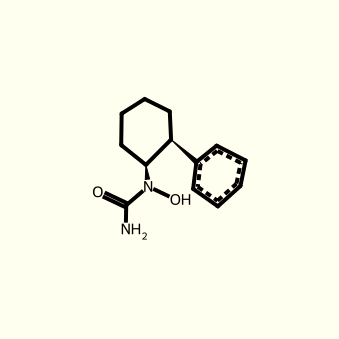 NC(=O)N(O)[C@H]1CCCC[C@H]1c1ccccc1